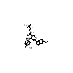 CC(=O)NC12CCC(Nc3cc(-c4ccc5cc(C#N)cnn45)ncc3C(=O)NC[C@@H](F)C(C)(C)O)(CC1)CC2